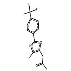 CC(=O)Cc1oc(-c2ccc(C(F)(F)F)cc2)nc1C